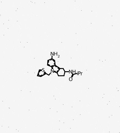 CC(C)C(=O)NC1CCc2c(c3cc(N)ccc3n2Cc2cccs2)C1